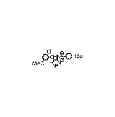 COc1ccc(Cl)c(Oc2c(C)ncnc2NS(=O)(=O)c2ccc(C(C)(C)C)cc2)c1